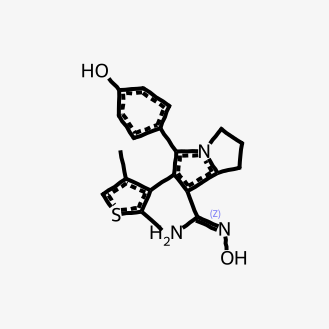 Cc1csc(C)c1-c1c(/C(N)=N/O)c2n(c1-c1ccc(O)cc1)CCC2